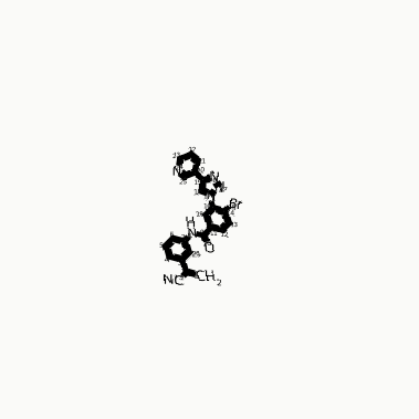 C=C(C#N)c1cccc(NC(=O)c2ccc(Br)c(-n3cc(-c4cccnc4)nn3)c2)c1